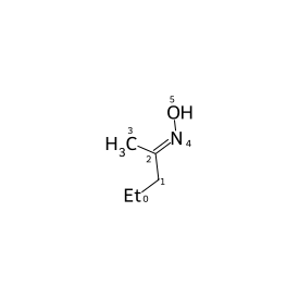 CCC/C(C)=N/O